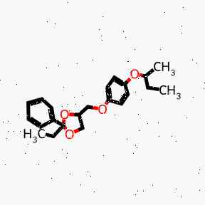 CCC(C)Oc1ccc(OCC2COC(CC)(c3ccccc3)O2)cc1